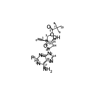 C#C[C@]1(COC(=O)C(C)(C)C)O[C@@H](n2cnc3c(N)nc(F)nc32)C[C@@H]1O